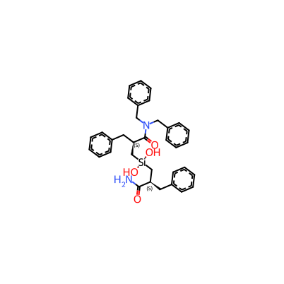 NC(=O)[C@H](Cc1ccccc1)C[Si](O)(O)C[C@@H](Cc1ccccc1)C(=O)N(Cc1ccccc1)Cc1ccccc1